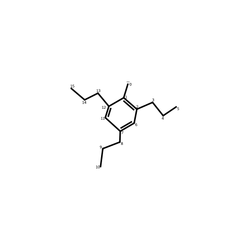 [CH]c1c(CCC)cc(CCC)cc1CCC